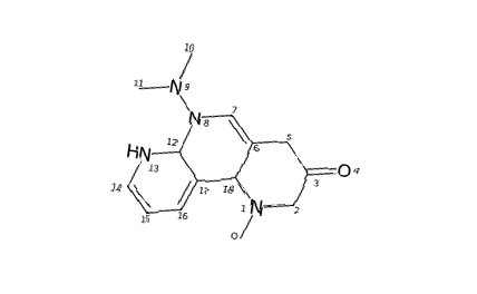 CN1CC(=O)CC2=CN(N(C)C)C3NC=CC=C3C21